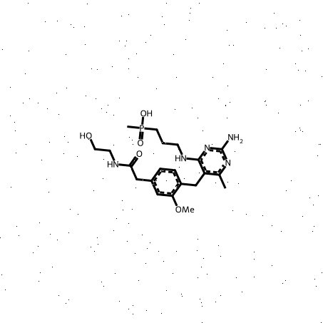 COc1cc(CC(=O)NCCO)ccc1Cc1c(C)nc(N)nc1NCCCP(C)(=O)O